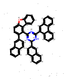 c1ccc2cc(-c3ccc4oc5ccccc5c4c3C3=NC(c4ccc5ccccc5c4)NC(c4cc5ccccc5c5ccccc45)=N3)ccc2c1